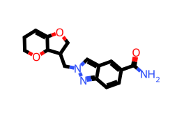 NC(=O)c1ccc2nn(CC3COC4=CCCOC43)cc2c1